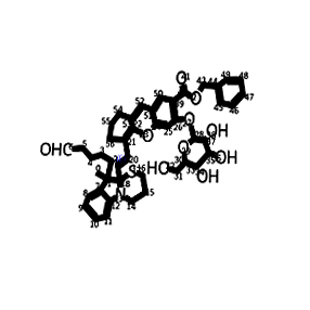 CC1(CCCCC=O)c2ccccc2N2CCCSC21/C=C/C1=C2Oc3cc(OC4OC(CO)C(O)C(O)C4O)c(C(=O)OCc4ccccc4)cc3C=C2CCC1